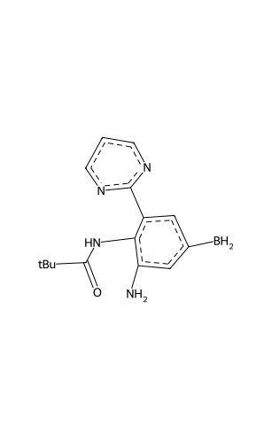 Bc1cc(N)c(NC(=O)C(C)(C)C)c(-c2ncccn2)c1